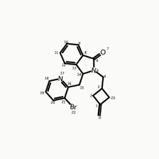 C=C1CC(CN2C(=O)c3ccccc3C2Cc2ncccc2Br)C1